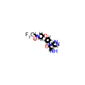 O=C(CC(F)(F)F)N1CCC(Oc2ccc(N(C(=O)C3CNC3)c3ccnnc3)cc2)CC1